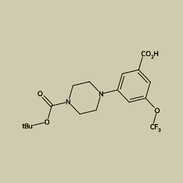 CC(C)(C)OC(=O)N1CCN(c2cc(OC(F)(F)F)cc(C(=O)O)c2)CC1